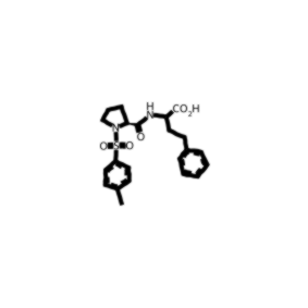 Cc1ccc(S(=O)(=O)N2CCC[C@H]2C(=O)NC(CCc2ccccc2)C(=O)O)cc1